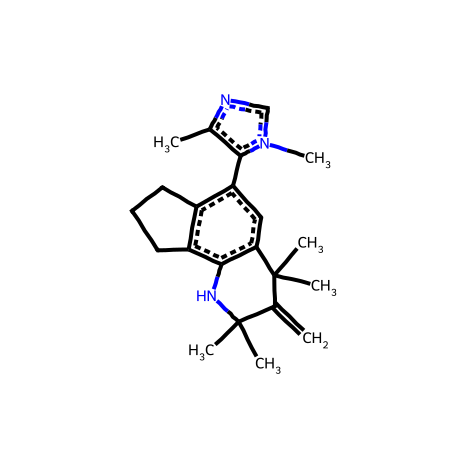 C=C1C(C)(C)Nc2c(cc(-c3c(C)ncn3C)c3c2CCC3)C1(C)C